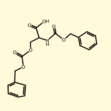 O=C(NC(COC(=O)OCc1ccccc1)C(=O)O)OCc1ccccc1